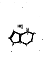 Cl.c1cc2c(s1)CCCN2